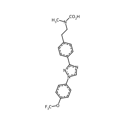 CN(CCc1ccc(-c2ncn(-c3ccc(OC(F)(F)F)cc3)n2)cc1)C(=O)O